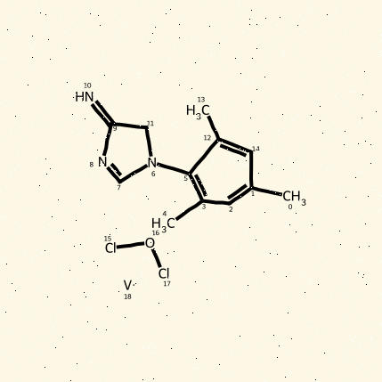 Cc1cc(C)c(N2C=NC(=N)C2)c(C)c1.ClOCl.[V]